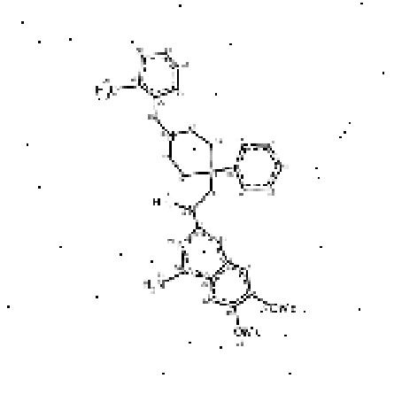 COc1cc2nc(N(C)CC3(c4ccccc4)CCN(Cc4ccccc4C)CC3)nc(N)c2cc1OC